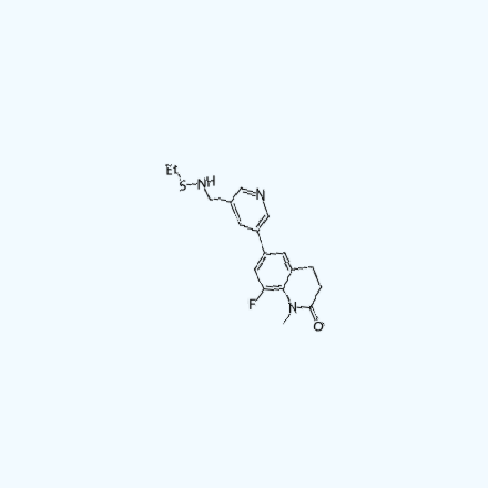 CCSNCc1cncc(-c2cc(F)c3c(c2)CCC(=O)N3C)c1